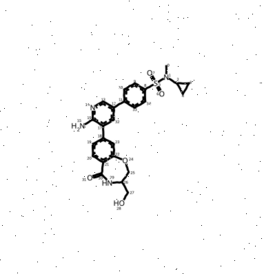 CN(C1CC1)S(=O)(=O)c1ccc(-c2cnc(N)c(-c3ccc4c(c3)OCC(CO)NC4=O)c2)cc1